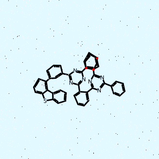 c1ccc(-c2nc(-c3ccccc3)nc(-c3ccccc3-c3nc(-c4ccccc4)nc(-c4cccc(-c5cccc6sc7ccccc7c56)c4)n3)n2)cc1